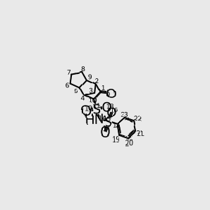 O=C1C2CC(C3CCCC23)C1S(=O)(=O)NS(=O)(=O)c1ccccc1